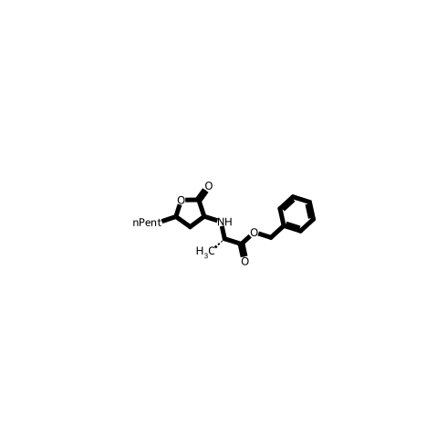 CCCCCC1CC(N[C@@H](C)C(=O)OCc2ccccc2)C(=O)O1